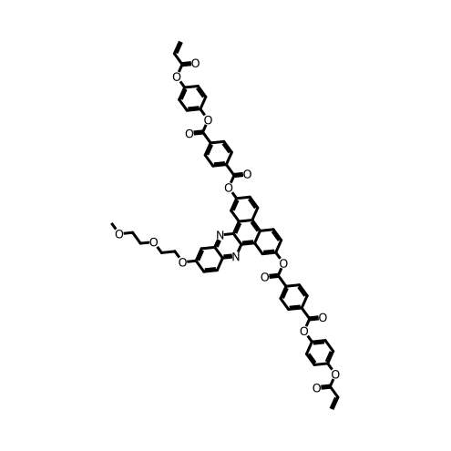 C=CC(=O)Oc1ccc(OC(=O)c2ccc(C(=O)Oc3ccc4c5ccc(OC(=O)c6ccc(C(=O)Oc7ccc(OC(=O)C=C)cc7)cc6)cc5c5nc6cc(OCCOCCOC)ccc6nc5c4c3)cc2)cc1